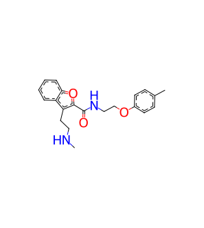 CNCCc1c(C(=O)NCCOc2ccc(C)cc2)oc2ccccc12